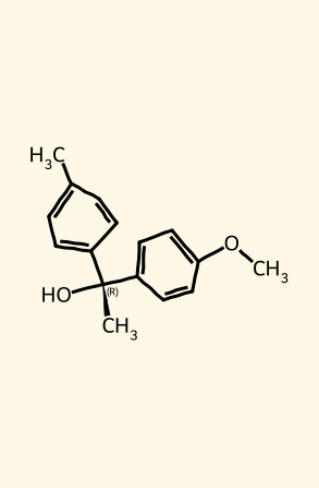 COc1ccc([C@](C)(O)c2ccc(C)cc2)cc1